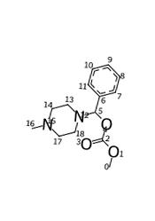 COC(=O)OC(c1ccccc1)N1CCN(C)CC1